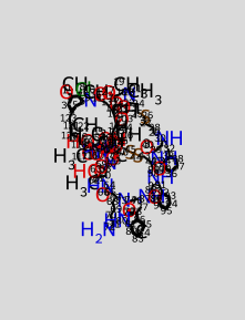 COc1cc2cc(c1Cl)N(C)C(=O)C[C@H](OC(=O)[C@H](C)N(C)C(=O)CCSCCCN[C@H](Cc1ccccc1)C(=O)N[C@H]1CSSC[C@@H](C(=O)N[C@H](CO)[C@@H](C)O)NC(=O)[C@H]([C@@H](C)O)NC(=O)[C@H](CCCCN)NC(=O)[C@@H](Cc3c[nH]c4ccccc34)NC(=O)[C@H](Cc3ccccc3)NC1=O)[C@]1(C)O[C@H]1[C@H](C)[C@@H]1C[C@@](O)(NC(=O)O1)[C@H](OC)/C=C/C=C(\C)C2